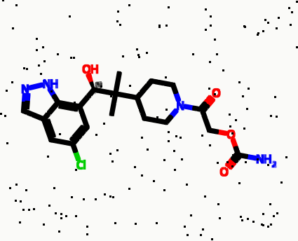 CC(C)(C1CCN(C(=O)COC(N)=O)CC1)[C@H](O)c1cc(Cl)cc2cn[nH]c12